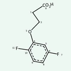 O=C(O)CCOc1cc(F)ccc1F